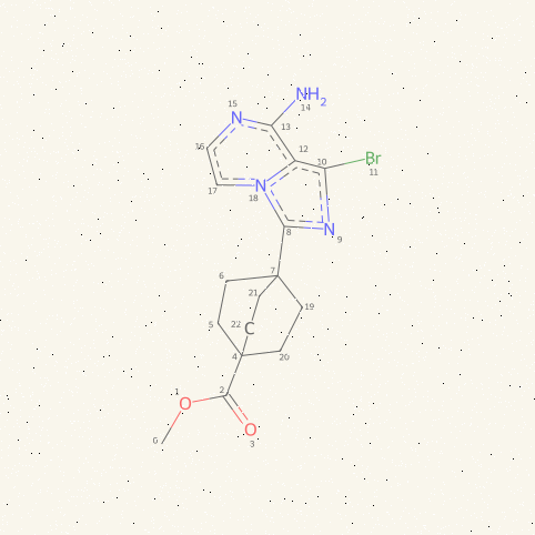 COC(=O)C12CCC(c3nc(Br)c4c(N)nccn34)(CC1)CC2